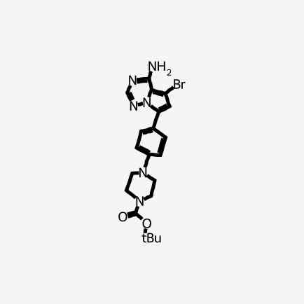 CC(C)(C)OC(=O)N1CCN(c2ccc(-c3cc(Br)c4c(N)ncnn34)cc2)CC1